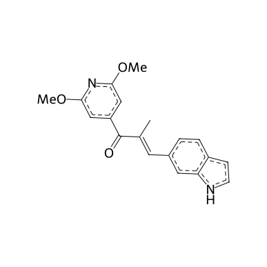 COc1cc(C(=O)/C(C)=C/c2ccc3cc[nH]c3c2)cc(OC)n1